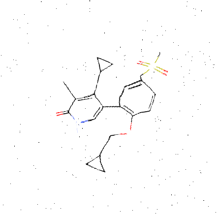 CCS(=O)(=O)c1ccc(OCC2CC2)c(-c2c[nH]c(=O)c(C)c2C2CC2)c1